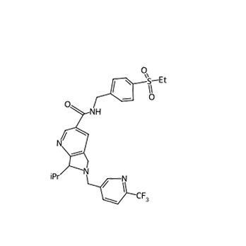 CCS(=O)(=O)c1ccc(CNC(=O)c2cnc3c(c2)CN(Cc2ccc(C(F)(F)F)nc2)C3C(C)C)cc1